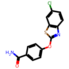 NC(=O)c1ccc(Oc2nc3ccc(Cl)cc3s2)cc1